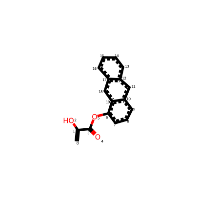 C=C(O)C(=O)Oc1cccc2cc3ccccc3cc12